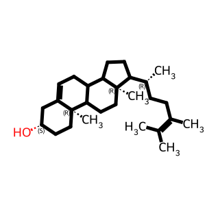 CC(C)=C(C)CC[C@@H](C)C1CCC2C3CC=C4C[C@@H](O)CC[C@]4(C)C3CC[C@@]21C